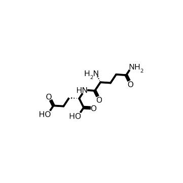 NC(=O)CC[C@@H](N)C(=O)N[C@@H](CCC(=O)O)C(=O)O